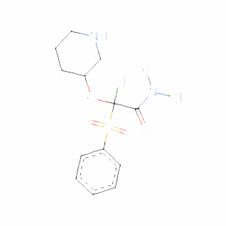 O=C(N(Cl)Cl)C(Cl)(OC1CCCNC1)S(=O)(=O)c1ccccc1